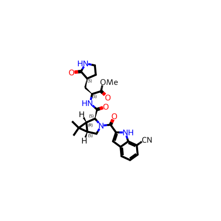 COC(=O)[C@H](C[C@@H]1CCNC1=O)NC(=O)[C@@H]1[C@@H]2[C@H](CN1C(=O)c1cc3cccc(C#N)c3[nH]1)C2(C)C